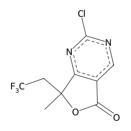 CC1(CC(F)(F)F)OC(=O)c2cnc(Cl)nc21